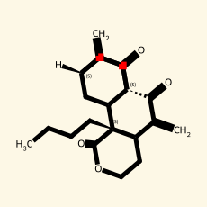 C=C1C(=O)[C@@]23CC[C@@H](CC2[C@@]2(CCCC)C(=O)OCCC12)C(=C)C3=O